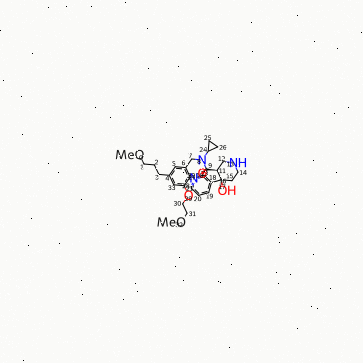 COCCCc1cc(CN(C(=O)[C@H]2CNCC[C@]2(O)c2cccnc2)C2CC2)cc(OCCOC)c1